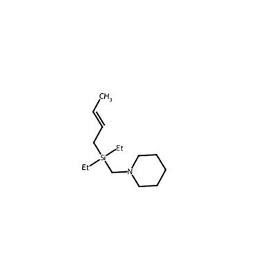 C/C=C/C[Si](CC)(CC)CN1CCCCC1